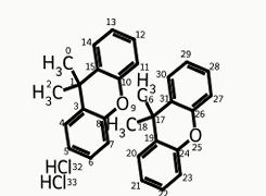 CC1(C)c2ccccc2Oc2ccccc21.CC1(C)c2ccccc2Oc2ccccc21.Cl.Cl